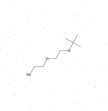 CC(C)(C)OCCOCCS